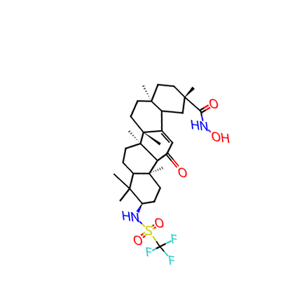 CC1(C)C2CC[C@]3(C)C(C(=O)C=C4C5C[C@@](C)(C(=O)NO)CC[C@]5(C)CC[C@]43C)[C@@]2(C)CC[C@H]1NS(=O)(=O)C(F)(F)F